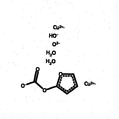 O.O.O=C([O-])Oc1ccco1.[Cu+2].[Cu+2].[O-2].[OH-]